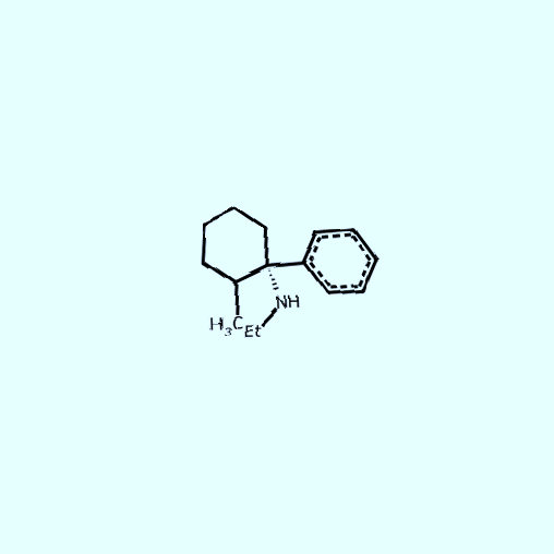 CCN[C@@]1(c2ccccc2)CCCCC1C